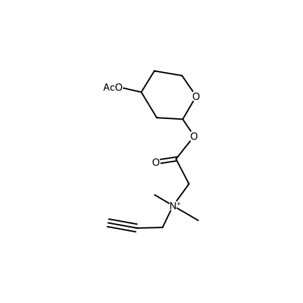 C#CC[N+](C)(C)CC(=O)OC1CC(OC(C)=O)CCO1